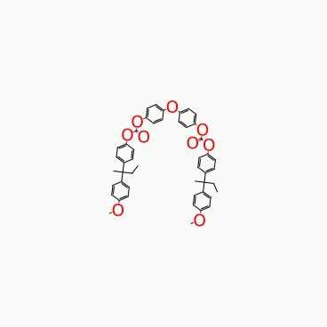 CCC(C)(c1ccc(OC)cc1)c1ccc(OC(=O)Oc2ccc(Oc3ccc(OC(=O)Oc4ccc(C(C)(CC)c5ccc(OC)cc5)cc4)cc3)cc2)cc1